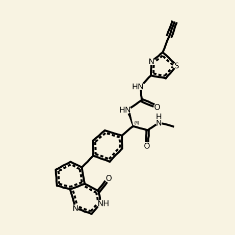 C#Cc1nc(NC(=O)N[C@@H](C(=O)NC)c2ccc(-c3cccc4nc[nH]c(=O)c34)cc2)cs1